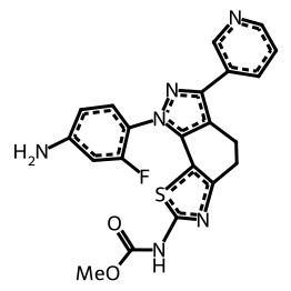 COC(=O)Nc1nc2c(s1)-c1c(c(-c3cccnc3)nn1-c1ccc(N)cc1F)CC2